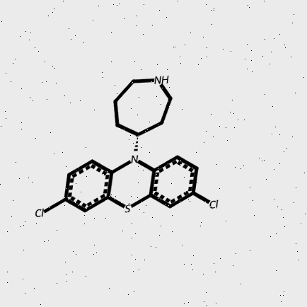 Clc1ccc2c(c1)Sc1cc(Cl)ccc1N2[C@@H]1CCCNCC1